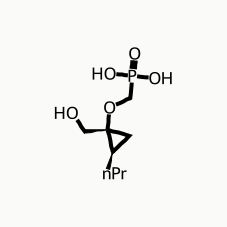 CCC[C@@H]1C[C@@]1(CO)OCP(=O)(O)O